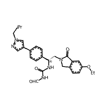 CCOc1ccc2c(c1)C(=O)N(C[C@H](NC(=O)NC=O)c1ccc(-c3cnn(CC(C)C)c3)cc1)C2